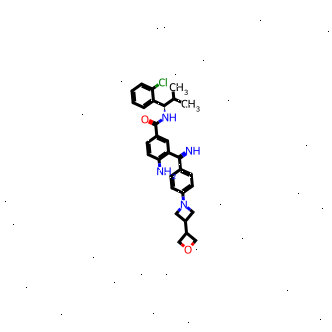 CC(C)[C@H](NC(=O)c1ccc(N)c(C(=N)c2ccc(N3CC(C4COC4)C3)cc2)c1)c1ccccc1Cl